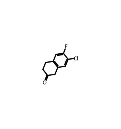 O=C1CCc2cc(F)c(Cl)cc2C1